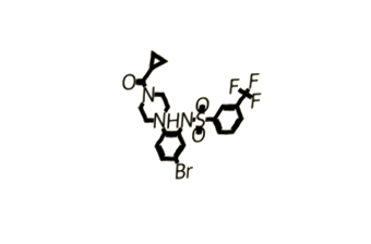 O=C(C1CC1)N1CCN(c2ccc(Br)cc2NS(=O)(=O)c2cccc(C(F)(F)F)c2)CC1